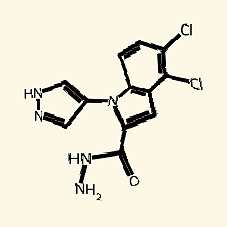 NNC(=O)c1cc2c(Cl)c(Cl)ccc2n1-c1cn[nH]c1